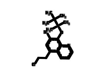 CC(C)(C)[Si](C)(C)Oc1c(Br)cc(CCCl)c2cccnc12